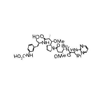 CC[C@H](C)[C@@H]([C@@H](CC(=O)N1CCCC1[C@H](OC)[C@@H](C)C(=O)NC(CO)Cc1cccc(NC(=O)O)c1)OC)N(C)C(=O)C(Nc1ncccn1)C(C)C